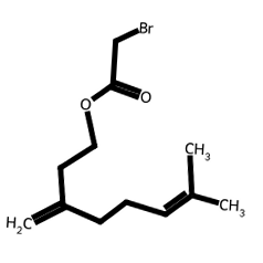 C=C(CCC=C(C)C)CCOC(=O)CBr